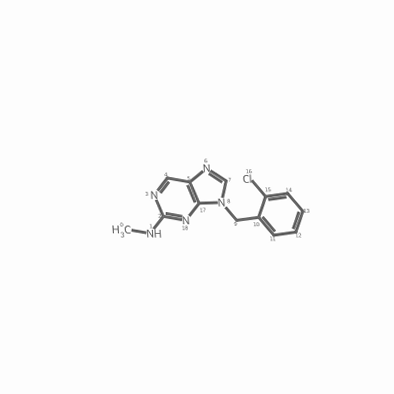 CNc1ncc2ncn(Cc3ccccc3Cl)c2n1